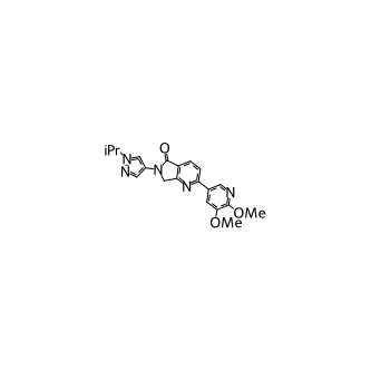 COc1cc(-c2ccc3c(n2)CN(c2cnn(C(C)C)c2)C3=O)cnc1OC